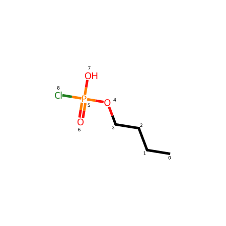 CCCCOP(=O)(O)Cl